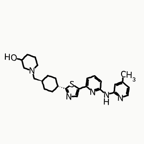 Cc1ccnc(Nc2cccc(-c3cnc([C@H]4CC[C@H](CN5CCCC(O)C5)CC4)s3)n2)c1